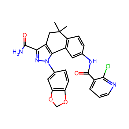 CC1(C)Cc2c(C(N)=O)nn(-c3ccc4c(c3)OCO4)c2-c2cc(NC(=O)c3cccnc3Cl)ccc21